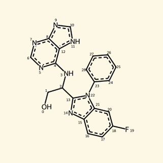 OCC(Nc1ncnc2nc[nH]c12)c1nc2ccc(F)cc2n1-c1ccccc1